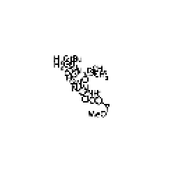 COCC1CC1c1cc(F)c2c(c1)CC[C@@H]2Nc1nc2c(cc1Cl)nc(O[C@@H]1CO[C@H]3[C@@H]1OC[C@H]3O[Si](C)(C)C(C)(C)C)n2COCC[Si](C)(C)C